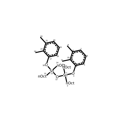 CCCCCCC[CH2][Sn]([CH2]CCCCCCC)([O]c1cccc(C)c1C)[O][Sn]([CH2]CCCCCCC)([CH2]CCCCCCC)[O]c1cccc(C)c1C